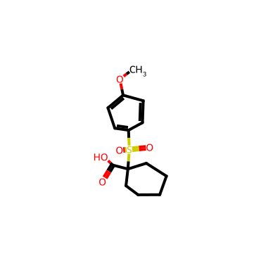 COc1ccc(S(=O)(=O)C2(C(=O)O)CCCCC2)cc1